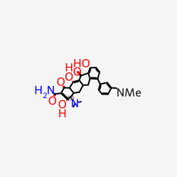 CNCc1cccc(-c2ccc(O)c3c2CC2CC4C(C(=O)C(C(N)=O)=C(O)[C@H]4N(C)C)C(O)=C2C3=O)c1